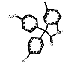 CC(=O)Oc1ccc(C2(c3ccc(OC(C)=O)cc3)C(=O)Nc3ccc(C)cc32)cc1